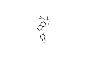 CC1(C)C(O)(C2CC2)c2cc3nccc(Nc4ccc5scnc5c4)c3cc2S1(=O)=O